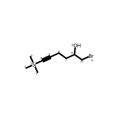 C[Si](C)(C)C#CCCC(O)CBr